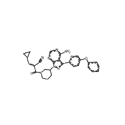 N#CC(=CC1CC1)C(=O)N1CCCC(n2nc(-c3ccc(Oc4ccccc4)cn3)c3c(N)ncnc32)C1